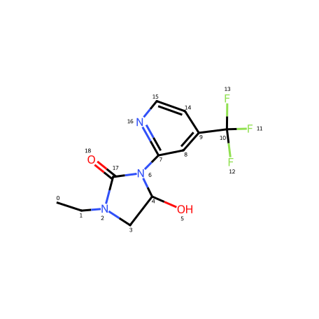 CCN1CC(O)N(c2cc(C(F)(F)F)ccn2)C1=O